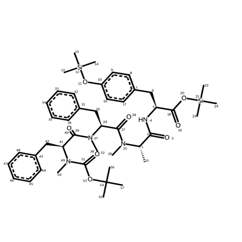 C[C@@H](C(=O)N[C@@H](Cc1ccc(O[Si](C)(C)C)cc1)C(=O)O[Si](C)(C)C)N(C)C(=O)[C@H](Cc1ccccc1)N(C)C(=O)[C@H](Cc1ccccc1)N(C)C(=O)OC(C)(C)C